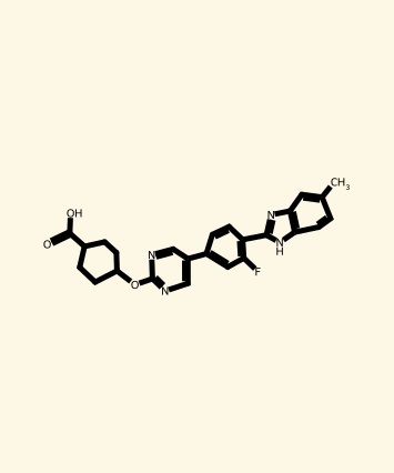 Cc1ccc2[nH]c(-c3ccc(-c4cnc(OC5CCC(C(=O)O)CC5)nc4)cc3F)nc2c1